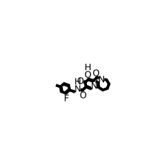 Cc1ccc(CNC(=O)c2cn3c(c(O)c2=O)C(=O)N2CCCCC3C2C)c(F)c1